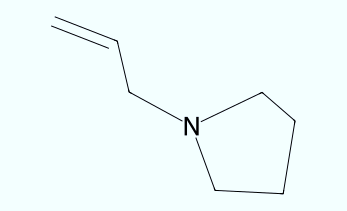 C=CCN1CCCC1